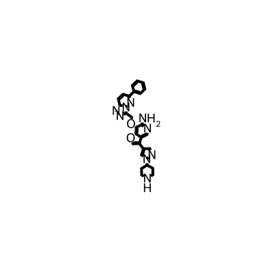 Nc1ncc2c(-c3cnn(C4CCNCC4)c3)coc2c1OCc1nnc2ccc(-c3ccccc3)nn12